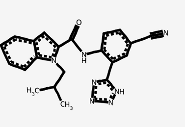 CC(C)Cn1c(C(=O)Nc2ccc(C#N)cc2-c2nnn[nH]2)cc2ccccc21